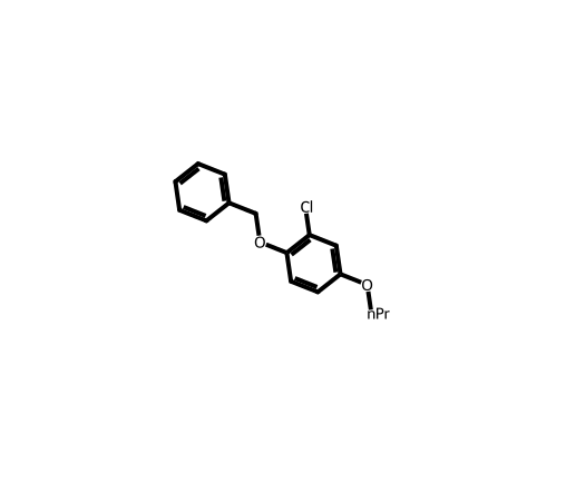 CCCOc1ccc(OCc2ccccc2)c(Cl)c1